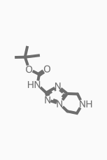 CC(C)(C)OC(=O)Nc1nc2n(n1)CCNC2